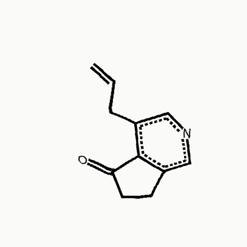 C=CCc1cncc2c1C(=O)CC2